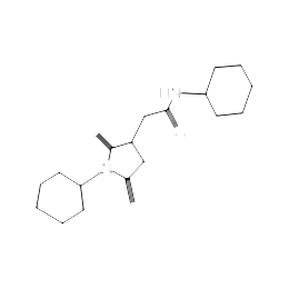 O=C(CC1CC(=O)N(C2CCCCC2)C1=O)NC1CCCCC1